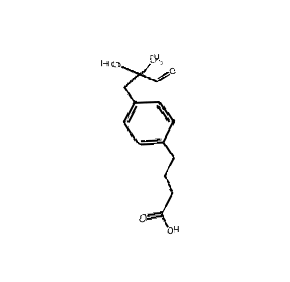 CC(O)(C=O)Cc1ccc(CCCC(=O)O)cc1